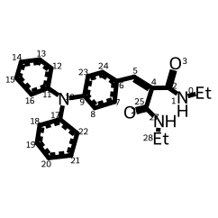 CCNC(=O)C(=Cc1ccc(N(c2ccccc2)c2ccccc2)cc1)C(=O)NCC